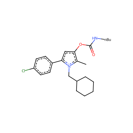 CCCCNC(=O)Oc1cc(-c2ccc(Cl)cc2)n(CC2CCCCC2)c1C